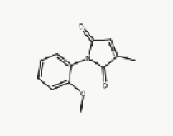 COc1ccccc1N1C(=O)C=C(C)C1=O